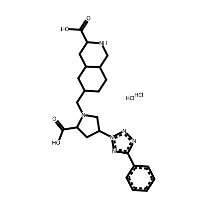 Cl.Cl.O=C(O)C1CC2CC(CN3CC(n4nnc(-c5ccccc5)n4)CC3C(=O)O)CCC2CN1